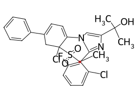 CCS(=O)(=O)C1(Cl)CC(c2ccccc2)=CC=C1n1cc(C(C)(C)O)nc1-c1c(F)cccc1Cl